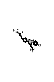 COC(=O)CCCc1ccc(C(CCCCC(F)(F)F)NS(=O)(=O)c2ccc(Cl)cc2)cc1